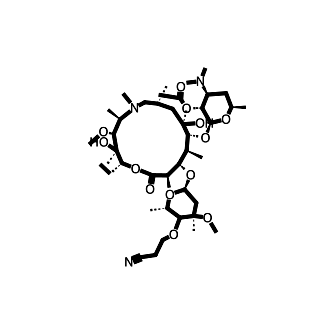 CC[C@H]1OC(=O)[C@H](C)[C@@H](O[C@H]2C[C@@](C)(OC)C(OCCC#N)[C@H](C)O2)[C@H](C)[C@@H](O[C@@H]2O[C@H](C)C[C@H](N(C)C)[C@H]2OC(C)=O)[C@](C)(O)C[C@@H](C)CN(C)[C@H](C)[C@@H](OC)[C@]1(C)O